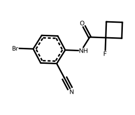 N#Cc1cc(Br)ccc1NC(=O)C1(F)CCC1